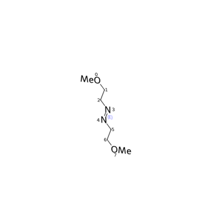 COCC/N=N/CCOC